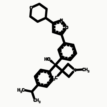 CC(C)c1ccc([C@](O)(c2cccc(-c3cc(C4CCOCC4)no3)c2)C2(C)CN(C)C2)cc1